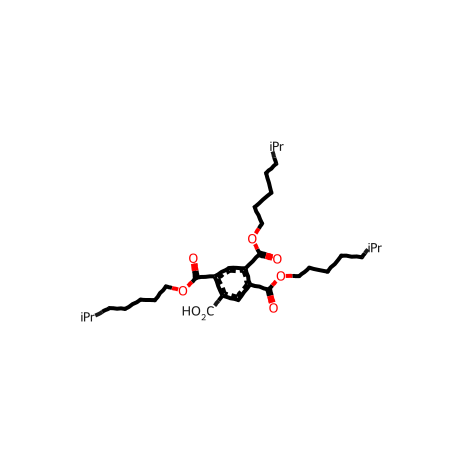 CC(C)CCCCCOC(=O)c1cc(C(=O)OCCCCCC(C)C)c(C(=O)OCCCCCC(C)C)cc1C(=O)O